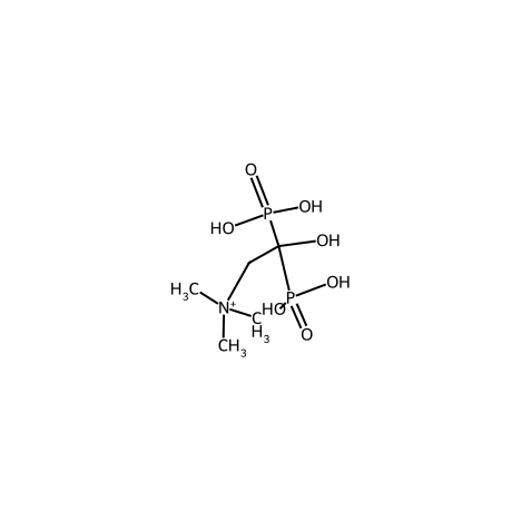 C[N+](C)(C)CC(O)(P(=O)(O)O)P(=O)(O)O